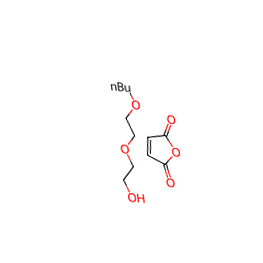 CCCCOCCOCCO.O=C1C=CC(=O)O1